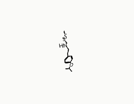 CSSCNCCc1ccc(OC(C)C)cc1